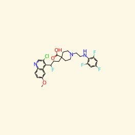 COc1ccc2ncc(Cl)c(C(F)CCC3(C(=O)O)CCN(CCNc4c(F)cc(F)cc4F)CC3)c2c1